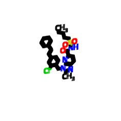 CCCCCS(=O)(=O)NC(=O)c1ccc2nc(C)n(Cc3ccc(C=Cc4ccccc4)cc3Cl)c2n1